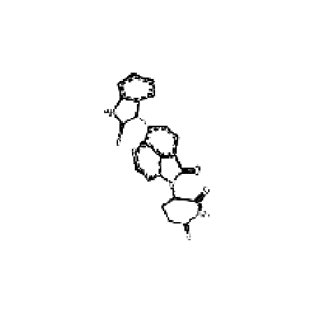 O=C1CCC(N2C(=O)c3ccc([C@@H]4C(=O)Nc5ccccc54)c4nccc2c34)C(=O)N1